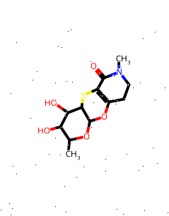 CC1OC2OC3=C(SC2C(O)C1O)C(=O)N(C)CC3